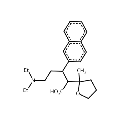 CCN(CC)CCC(c1ccc2ccccc2c1)C(C(=O)O)C1(C)CCCO1